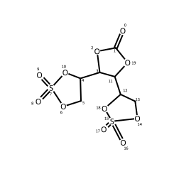 O=C1OC(C2COS(=O)(=O)O2)C(C2COS(=O)(=O)O2)O1